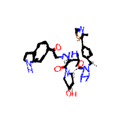 Cc1ncsc1-c1ccc([C@H](C)NC(=O)[C@@H]2C[C@@H](O)CN2C(=O)[C@@H](NCC(=O)c2ccc3c(c2)NCC3)C(C)(C)C)cc1